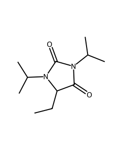 CCC1C(=O)N(C(C)C)C(=O)N1C(C)C